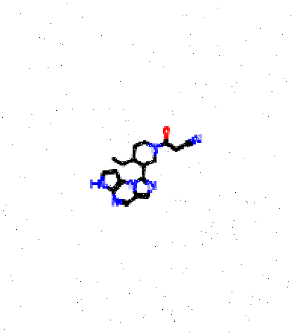 CCC1CCN(C(=O)CC#N)CC1c1ncc2cnc3[nH]ccc3n12